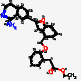 CCOC(=O)Cc1ccccc1OCc1cccc2oc(-c3ccc4ccnc(N)c4c3)cc12